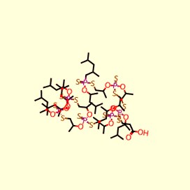 CC(C)CC(C)CP(=S)(OC(C)CC(C)C)SCC(C)OP(=S)(OC(C)CSP(=S)(OC(C)CC(C)C)OC(C)CC(C)C)SCC(C)OP(=S)(OC(C)CSP(=S)(OC(C)CSP(=S)(OC(C)CC(C)C)OC(C)CC(C)C)OC(C)CSP(=S)(OC(C)CC(C)C)OC(C)CC(C)C)SCCC(=O)O